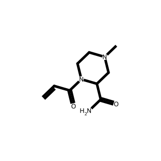 C=CC(=O)N1CCN(C)CC1C(N)=O